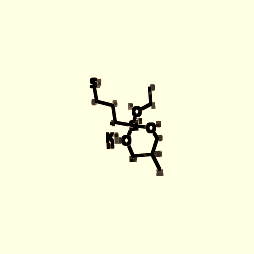 CCO[Si]1(CCC[S-])OCC(C)CO1.[K+]